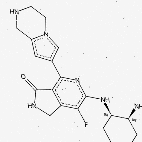 N[C@H]1COCC[C@H]1Nc1nc(-c2cc3n(c2)CCNC3)c2c(c1F)CNC2=O